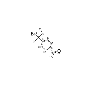 CCC(C)(Br)c1ccc(C(C)=O)cc1